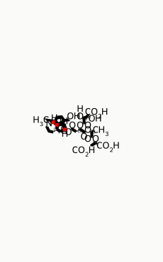 C[C@H](OC(=O)[C@H](CC(=O)OC1=CC[C@@]2(O)[C@H]3Cc4ccc(CO)c5c4[C@@]2(CCCN3C)[C@H]1O5)OC(=O)[C@H](O)[C@@H](O)C(=O)O)C(=O)O[C@@H](CC(=O)O)C(=O)O